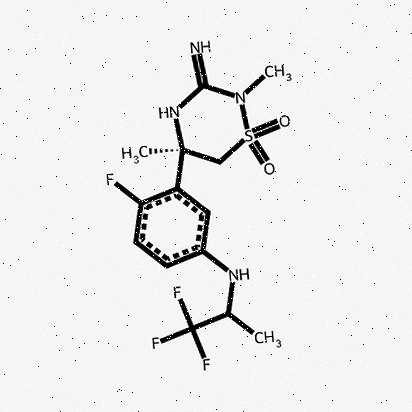 CC(Nc1ccc(F)c([C@]2(C)CS(=O)(=O)N(C)C(=N)N2)c1)C(F)(F)F